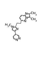 Cc1nc2ccc(CCc3nc(-c4ccnnc4)cn3C)nn2c1C